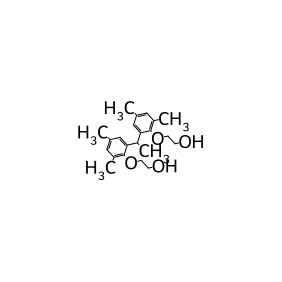 Cc1cc(C)c(OCCO)c(C(C)c2cc(C)cc(C)c2OCCO)c1